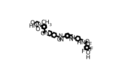 Cc1ccc(C(=O)N2CCC3(CCC(c4nc(-c5ccc6cn(C7CCC(CNC(=O)c8cc(F)c(O)c(F)c8F)CC7)nc6c5)no4)CC3)CC2)cc1N1CCC(=O)NC1=O